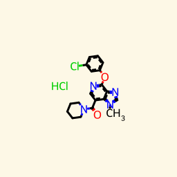 Cl.Cn1cnc2c(Oc3cccc(Cl)c3)ncc(C(=O)N3CCCCC3)c21